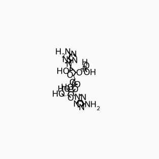 Nc1ncnc2c1ncn2[C@@H]1O[C@H](CO)C(O)C1OP(=O)(O)OC[C@H]1OC2(O)C(C1OC[PH](=O)O)[C@@H]2n1cnc2c(N)ncnc21